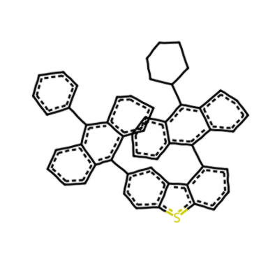 c1ccc(-c2c3ccccc3c(-c3ccc4sc5cccc(-c6c7ccccc7c(C7CCCCC7)c7ccccc67)c5c4c3)c3ccccc23)cc1